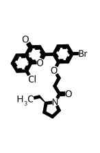 CC[C@@H]1CCCN1C(=O)CCOc1cc(Br)ccc1-c1cc(=O)c2cccc(Cl)c2o1